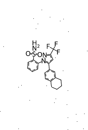 NS(=O)(=O)c1ccccc1-n1nc(C(F)(F)F)cc1-c1ccc2c(c1)CCCC2